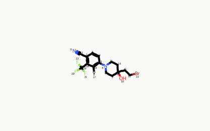 N#Cc1ccc(N2CCC(O)(CCBr)CC2)[c]([Y])c1C(F)(F)F